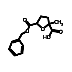 CC1(C(=O)O)CCC(C(=O)OCc2ccccc2)O1